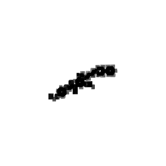 Cc1ccc(OCC(=O)Nc2cc(C)c3c(c2)ncn3CCCCN2CC=C(c3ccccc3)CC2)cc1